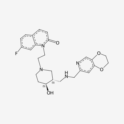 O=c1ccc2ccc(F)cc2n1CCN1CC[C@H](O)[C@@H](CNCc2cc3c(cn2)OCCO3)C1